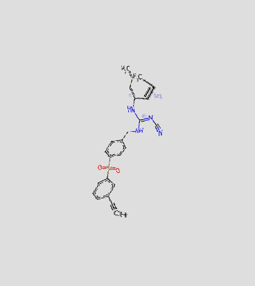 C#Cc1cccc(S(=O)(=O)c2ccc(CN/C(=N\C#N)NC(/C=C\C)=C/C=C)cc2)c1